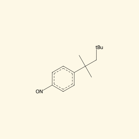 CC(C)(C)CC(C)(C)c1ccc(N=O)cc1